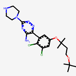 CC(C)(C)OCCC(C)(C)Oc1cc(Cl)c(Cl)c(-c2nnc(N3CCNCC3)nc2N)c1